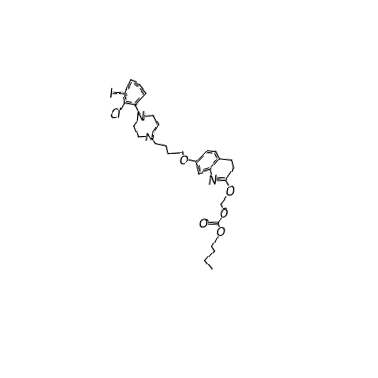 CCCCOC(=O)OCOC1=Nc2cc(OCCCCN3CCN(c4cccc(I)c4Cl)CC3)ccc2CC1